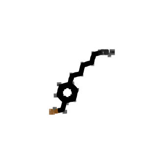 O=C(O)CCCCCc1ccc(CBr)cc1